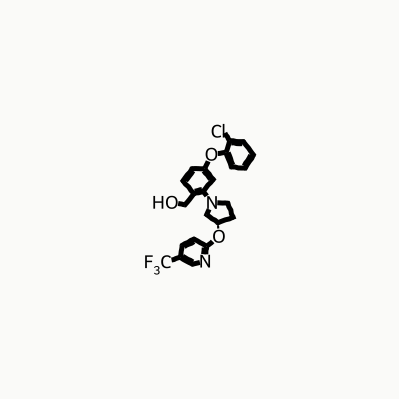 OCc1ccc(Oc2ccccc2Cl)cc1N1CC[C@H](Oc2ccc(C(F)(F)F)cn2)C1